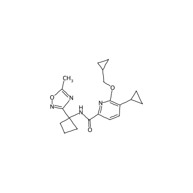 Cc1nc(C2(NC(=O)c3ccc(C4CC4)c(OCC4CC4)n3)CCC2)no1